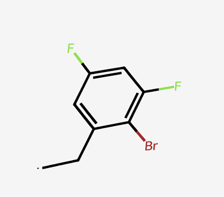 [CH2]Cc1cc(F)cc(F)c1Br